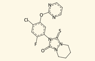 O=c1n(-c2cc(Oc3ncccn3)c(Cl)cc2F)c(=S)n2n1CCCC2